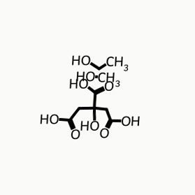 CCO.CO.O=C(O)CC(O)(CC(=O)O)C(=O)O